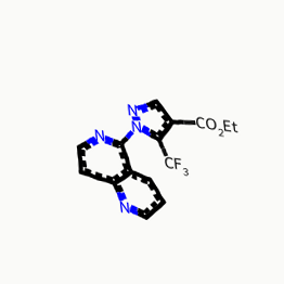 CCOC(=O)c1cnn(-c2nccc3ncccc23)c1C(F)(F)F